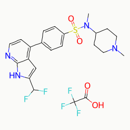 CN1CCC(N(C)S(=O)(=O)c2ccc(-c3ccnc4[nH]c(C(F)F)cc34)cc2)CC1.O=C(O)C(F)(F)F